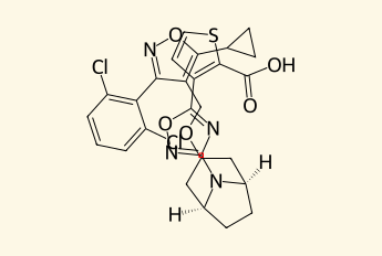 O=C(O)c1sccc1-c1nc(N2[C@@H]3CC[C@H]2CC(OCc2c(-c4c(Cl)cccc4Cl)noc2C2CC2)C3)no1